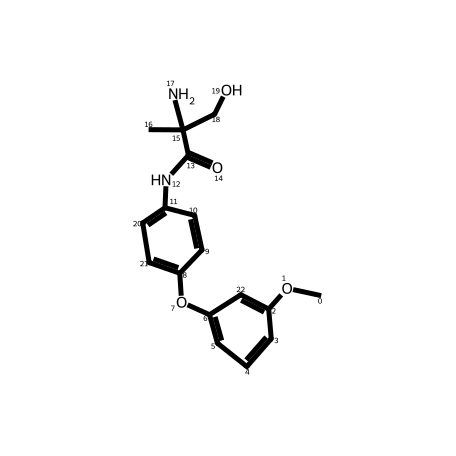 COc1cccc(Oc2ccc(NC(=O)C(C)(N)CO)cc2)c1